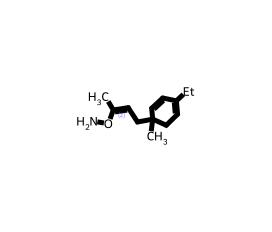 CCC1=CCC(C)(C/C=C(/C)ON)C=C1